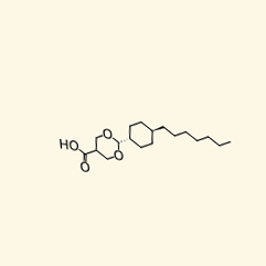 CCCCCCC[C@H]1CC[C@H](C2OCC(C(=O)O)CO2)CC1